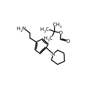 CC(C)(C)OC=O.NCCc1ccc(N2CCCCC2)cc1